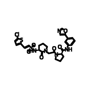 O=C(Nc1cccc(-c2cnco2)c1)[C@H]1CCCN1C(=O)CN1CCC[C@H](NS(=O)(=O)/C=C/c2ccc(Cl)s2)C1=O